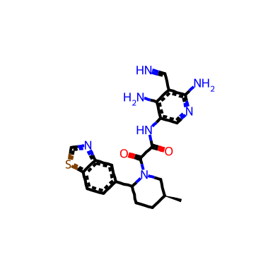 C[C@H]1CCC(c2ccc3scnc3c2)N(C(=O)C(=O)Nc2cnc(N)c(C=N)c2N)C1